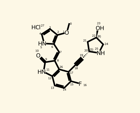 COc1cc[nH]c1C=C1C(=O)Nc2ccc(F)c(C#C[C@@H]3C[C@@H](O)CN3)c21.Cl